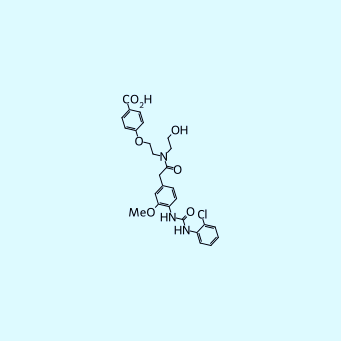 COc1cc(CC(=O)N(CCO)CCOc2ccc(C(=O)O)cc2)ccc1NC(=O)Nc1ccccc1Cl